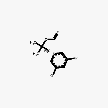 CC(C)(C)OC=O.Clc1cncc(Br)c1